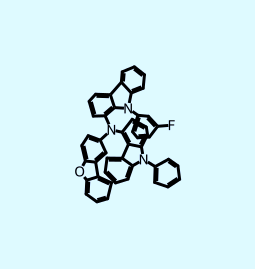 Fc1cccc(-n2c3ccccc3c3cccc(N(c4ccc5oc6ccccc6c5c4)c4cccc5c4c4ccccc4n5-c4ccccc4)c32)c1